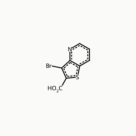 O=C(O)c1sc2cccnc2c1Br